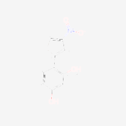 O=[N+]([O-])c1csc(-c2ccc(O)cc2O)c1